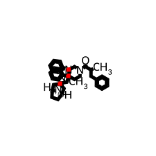 Cc1nc2ccccc2n1[C@H]1C[C@H]2CC[C@@H](C1)N2CCC1(c2ccccc2)CCN(C(=O)C(C)Cc2ccccc2)CC1